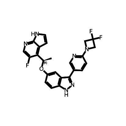 C[C@@H](Oc1ccc2[nH]nc(-c3ccc(N4CC(F)(F)C4)nc3)c2c1)c1c(F)cnc2[nH]ccc12